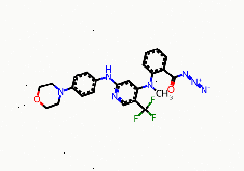 CN(c1ccccc1C(=O)N=[N+]=[N-])c1cc(Nc2ccc(N3CCOCC3)cc2)ncc1C(F)(F)F